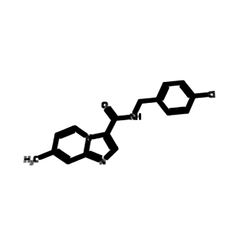 Cc1ccn2c(C(=O)NCc3ccc(Cl)cc3)cnc2c1